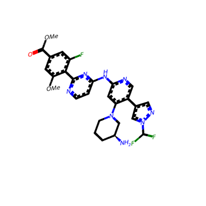 COC(=O)c1cc(F)c(-c2nccc(Nc3cc(N4CCC[C@H](N)C4)c(-c4cnn(C(F)F)c4)cn3)n2)c(OC)c1